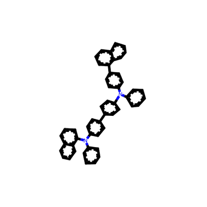 c1ccc(N(c2ccc(-c3ccc(N(c4ccccc4)c4cccc5ccccc45)cc3)cc2)c2ccc(-c3cccc4ccccc34)cc2)cc1